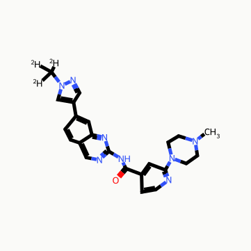 [2H]C([2H])([2H])n1cc(-c2ccc3cnc(NC(=O)c4ccnc(N5CCN(C)CC5)c4)nc3c2)cn1